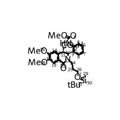 COC(=O)Nc1ccccc1[C@@H]1[C@H](C(=O)O)c2cc(OC)c(OC)cc2C(=O)N1CCCO[Si](C)(C)C(C)(C)C